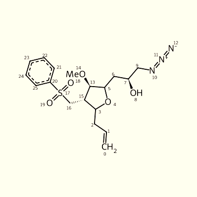 C=CCC1OC(C[C@H](O)CN=[N+]=[N-])[C@H](OC)[C@H]1CS(=O)(=O)c1ccccc1